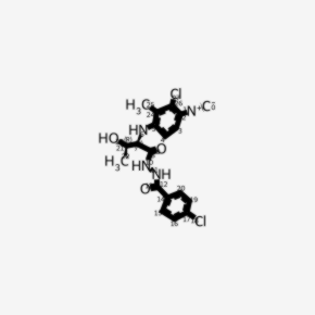 [C-]#[N+]c1ccc(N[C@@H](C(=O)NNC(=O)c2ccc(Cl)cc2)[C@@H](C)O)c(C)c1Cl